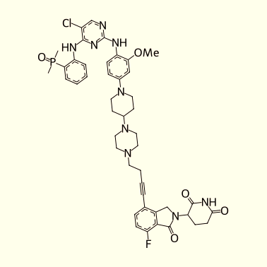 COc1cc(N2CCC(N3CCN(CCC#Cc4ccc(F)c5c4CN(C4CCC(=O)NC4=O)C5=O)CC3)CC2)ccc1Nc1ncc(Cl)c(Nc2ccccc2P(C)(C)=O)n1